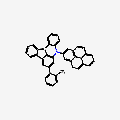 FC(F)(F)c1ccccc1-c1cc2c3c(c1)N(c1cc4c5c(c1)CC=C1C=CC=C(C=C4)C15)c1ccccc1B3c1ccccc1-2